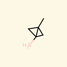 BC12CC1(C)C2